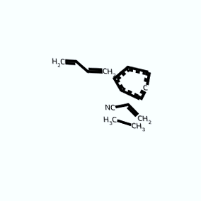 C=CC#N.C=CC=C.CC.c1ccccc1